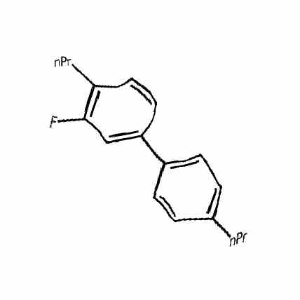 CCCc1ccc(-c2ccc(CCC)c(F)c2)cc1